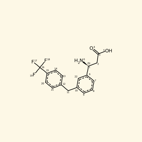 N[C@@H](CC(=O)O)c1cccc(Cc2ccc(C(F)(F)F)cc2)c1